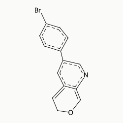 Brc1ccc(-c2cnc3c(c2)=CCOC=3)cc1